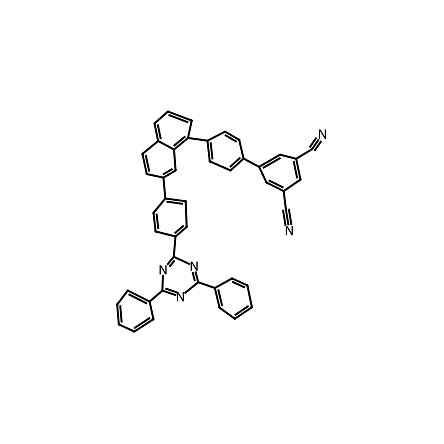 N#Cc1cc(C#N)cc(-c2ccc(-c3cccc4ccc(-c5ccc(-c6nc(-c7ccccc7)nc(-c7ccccc7)n6)cc5)cc34)cc2)c1